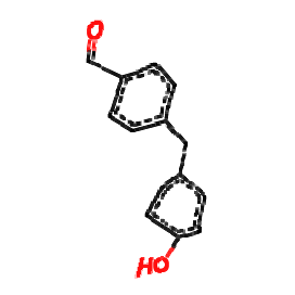 O=Cc1ccc(Cc2ccc(O)cc2)cc1